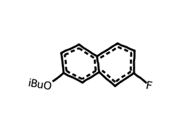 CC(C)COc1ccc2ccc(F)cc2c1